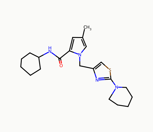 Cc1cc(C(=O)NC2CCCCC2)n(Cc2csc(N3CCCCC3)n2)c1